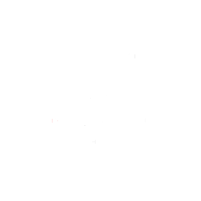 CCC1CC(C)C2C1C1CC2C(C)(CO)C1